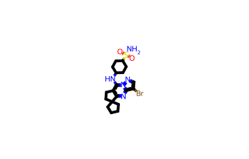 NS(=O)(=O)C1CCC(Nc2c3c(nc4c(Br)cnn24)C2(CCCC2)CC3)CC1